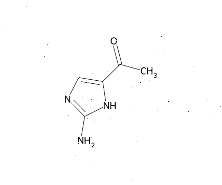 CC(=O)c1cnc(N)[nH]1